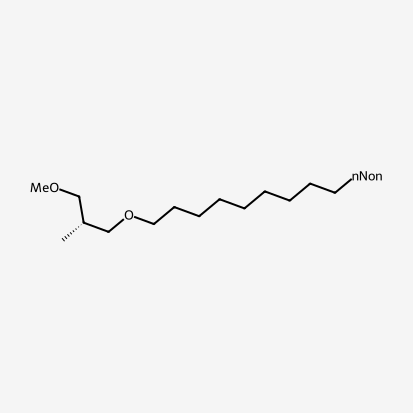 CCCCCCCCCCCCCCCCCCOC[C@H](C)COC